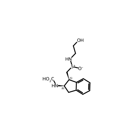 O=C(O)N[C@@H]1Cc2ccccc2[C@@H]1C[S+]([O-])NCCO